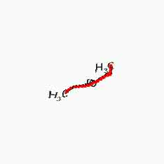 CCCCC/C=C\C/C=C/CCCCCCCCOC(=O)C=CC=CC=CCCCCCCCCCCCCC